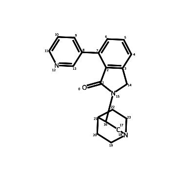 O=C1c2c(cccc2-c2cccnc2)CN1C1CN2CCC1CC2